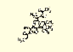 C=CC(=O)NC(NC(=O)[C@@H]1[C@H](C)C(C)(C)CN1C(=O)[C@H](C)NC(=O)C(F)(F)F)C(C)C